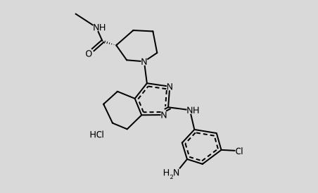 CNC(=O)[C@@H]1CCCN(c2nc(Nc3cc(N)cc(Cl)c3)nc3c2CCCC3)C1.Cl